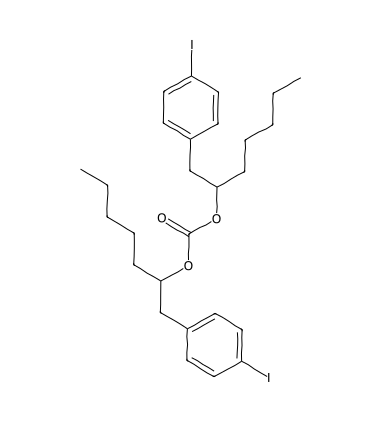 CCCCCC(Cc1ccc(I)cc1)OC(=O)OC(CCCCC)Cc1ccc(I)cc1